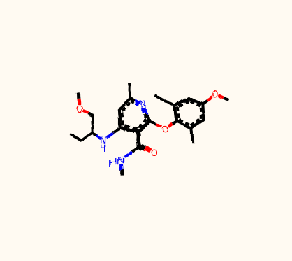 CCC(COC)Nc1cc(C)nc(Oc2c(C)cc(OC)cc2C)c1C(=O)NC